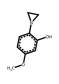 COc1ccc(N2CC2)c(O)c1